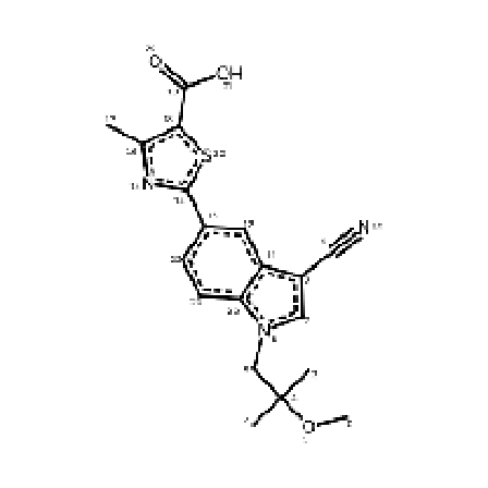 COC(C)(C)Cn1cc(C#N)c2cc(-c3nc(C)c(C(=O)O)s3)ccc21